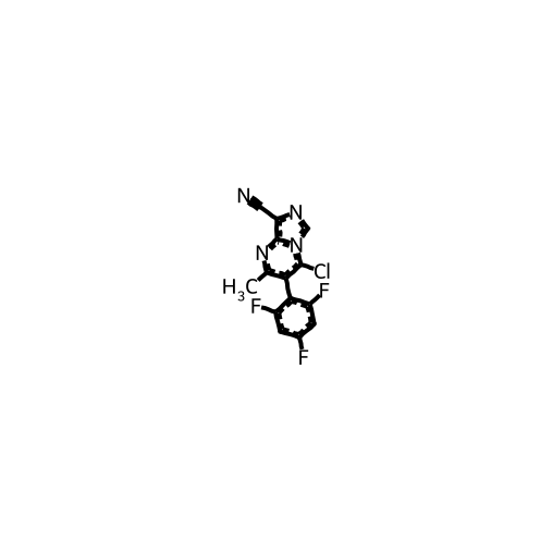 Cc1nc2c(C#N)ncn2c(Cl)c1-c1c(F)cc(F)cc1F